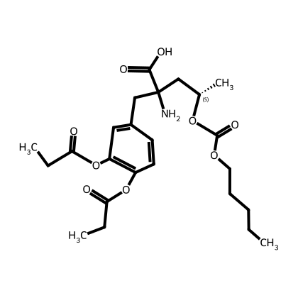 CCCCCOC(=O)O[C@@H](C)CC(N)(Cc1ccc(OC(=O)CC)c(OC(=O)CC)c1)C(=O)O